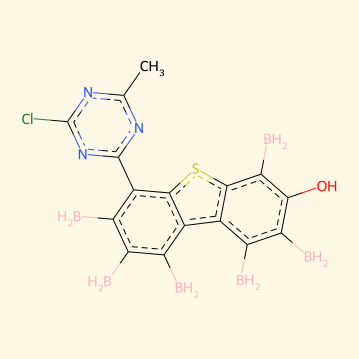 Bc1c(B)c(B)c2c(sc3c(B)c(O)c(B)c(B)c32)c1-c1nc(C)nc(Cl)n1